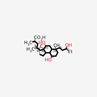 CC[C@H](O)CC[C@@]1(C)CC[C@@H](O)C2C1C[C@H](O)[C@@]1(C)C2CC[C@@H]1[C@H](C)C[C@H](C)C(=O)O